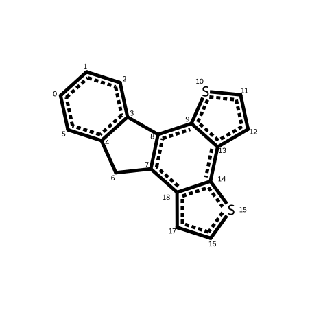 c1ccc2c(c1)Cc1c-2c2sccc2c2sccc12